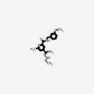 C=NN/N=C(\N)c1cc(C)nc(C(=O)NCc2cccc(OC)c2)c1